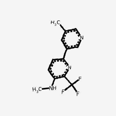 CNc1ccc(-c2cncc(C)c2)nc1C(F)(F)F